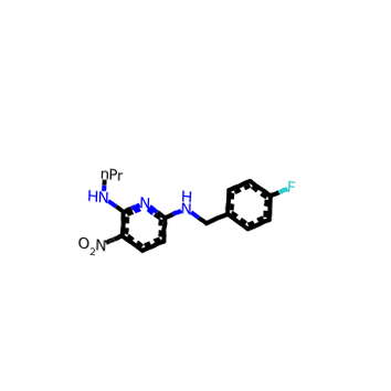 CCCNc1nc(NCc2ccc(F)cc2)ccc1[N+](=O)[O-]